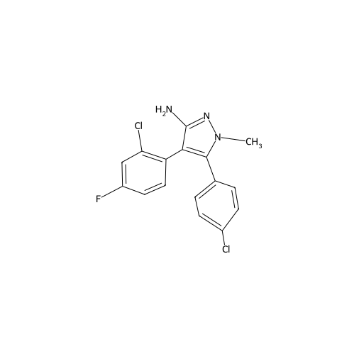 Cn1nc(N)c(-c2ccc(F)cc2Cl)c1-c1ccc(Cl)cc1